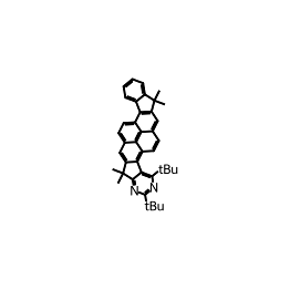 CC(C)(C)c1nc(C(C)(C)C)c2c(n1)C(C)(C)c1cc3ccc4c5c(cc6ccc(c1-2)c3c64)C(C)(C)c1ccccc1-5